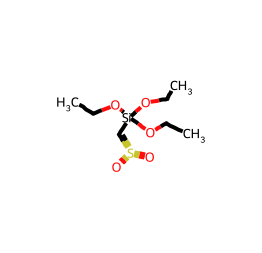 CCO[Si](C=S(=O)=O)(OCC)OCC